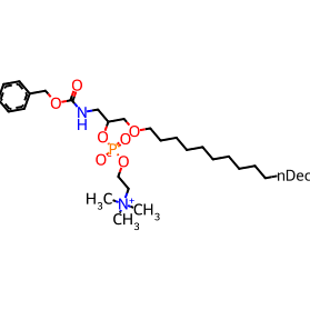 CCCCCCCCCCCCCCCCCCCCOCC(CNC(=O)OCc1ccccc1)OP(=O)([O-])OCC[N+](C)(C)C